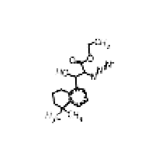 CCOC(=O)C(N=[N+]=[N-])C(O)c1cccc2c1CCCC2(C)C